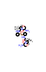 CC1(C)C[C@@H]2OCC[C@H](N)C(=O)N2C1C(=O)Nc1ccccc1SSc1ccccc1NCC(=O)[C@@H]1N2C(=O)[C@@H](N)CCO[C@H]2CC1(C)C